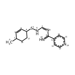 CC1C=CC(SN/C=N\C(=N)c2ccncc2)CC1